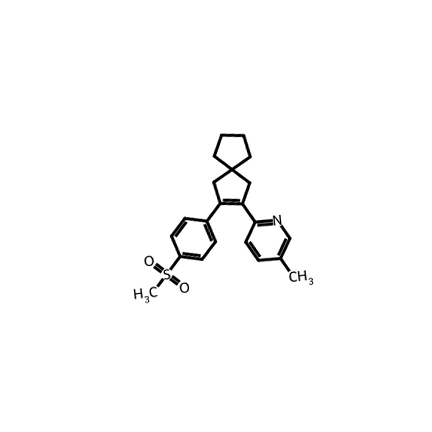 Cc1ccc(C2=C(c3ccc(S(C)(=O)=O)cc3)CC3(CCCC3)C2)nc1